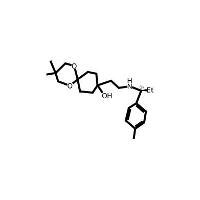 CC[C@H](NCCC1(O)CCC2(CC1)OCC(C)(C)CO2)c1ccc(C)cc1